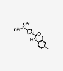 CCCN(CCC)C1CN(C(=O)Nc2ccc(C)cc2C)C1